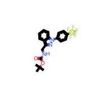 CC(C)(C)OC(=O)NCc1nn(-c2ccc(S(F)(F)(F)(F)F)cc2)c2ccccc12